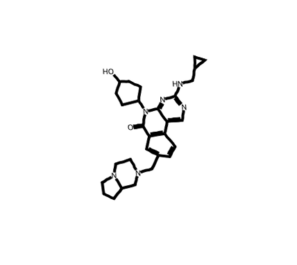 O=c1c2cc(CN3CCN4CCCC4C3)ccc2c2cnc(NCC3CC3)nc2n1C1CCC(O)CC1